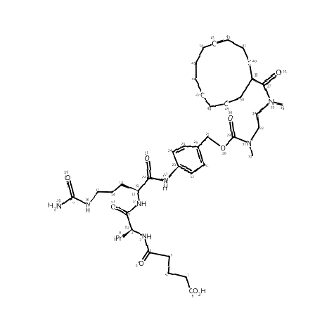 CC(C)[C@H](NC(=O)CCCC(=O)O)C(=O)N[C@@H](CCCNC(N)=O)C(=O)Nc1ccc(COC(=O)N(C)CCN(C)C(=O)C2CCCCCCCCCCC2)cc1